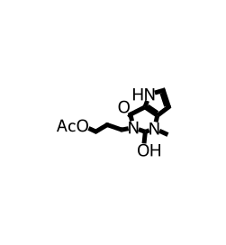 CC(=O)OCCCN1C(=O)c2[nH]ccc2N(C)C1O